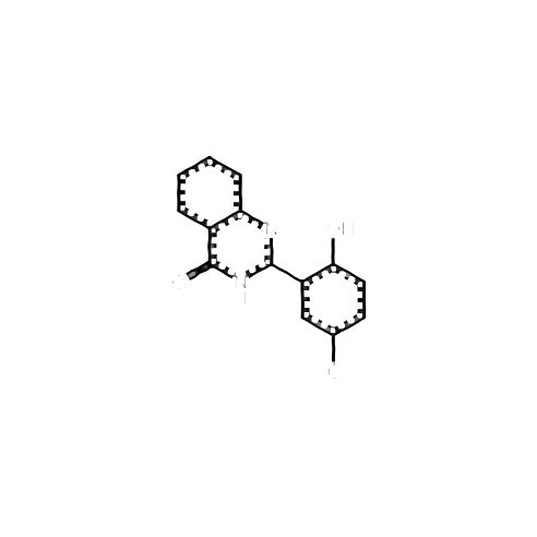 O=c1[nH]c(-c2cc(Cl)ccc2O)nc2ccccc12